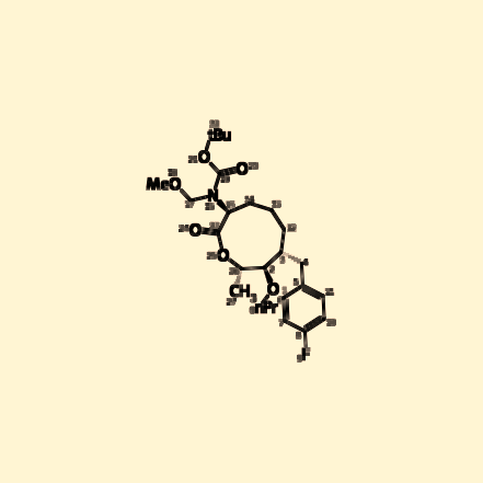 CCCO[C@@H]1[C@@H](Cc2ccc(F)cc2)CCC[C@H](N(COC)C(=O)OC(C)(C)C)C(=O)O[C@H]1C